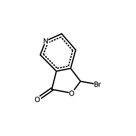 O=C1OC(Br)c2ccncc21